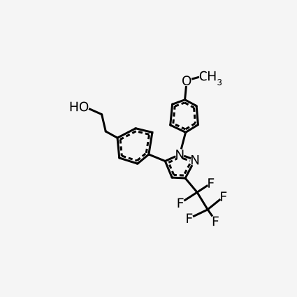 COc1ccc(-n2nc(C(F)(F)C(F)(F)F)cc2-c2ccc(CCO)cc2)cc1